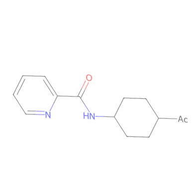 CC(=O)C1CCC(NC(=O)c2ccccn2)CC1